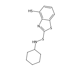 Sc1cccc2sc(SNC3CCCCC3)nc12